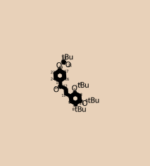 CC(C)(C)Oc1cc(OC(C)(C)C)c(C(C)(C)C)cc1/C=C/C(=O)c1ccc(OC(=O)C(C)(C)C)cc1